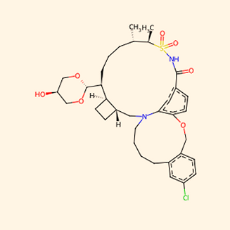 C[C@@H]1[C@@H](C)CCC[C@H]([C@H]2OC[C@H](O)CO2)[C@@H]2CC[C@H]2CN2CCCCc3cc(Cl)ccc3COc3ccc(cc32)C(=O)NS1(=O)=O